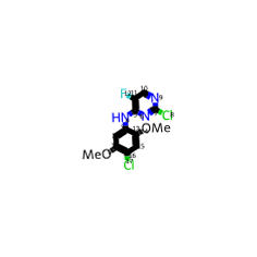 COc1cc(Nc2nc(Cl)ncc2F)c(OC)cc1Cl